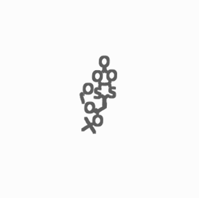 CC(C)(C)OC(=O)C=C1SC2OC(=O)OC2S1.CC=O